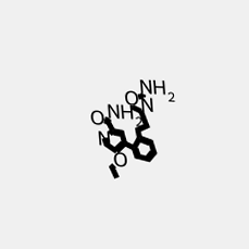 CCOc1cnc(C(N)=O)cc1-c1ccccc1CCC1COC(N)=N1